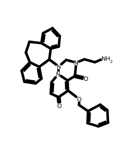 NCCN1CN(C2c3ccccc3CCc3ccccc32)n2ccc(=O)c(OCc3ccccc3)c2C1=O